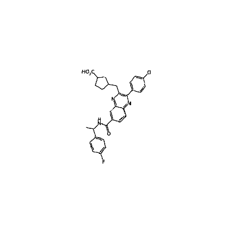 CC(NC(=O)c1ccc2nc(-c3ccc(Cl)cc3)c(CC3CCC(C(=O)O)C3)nc2c1)c1ccc(F)cc1